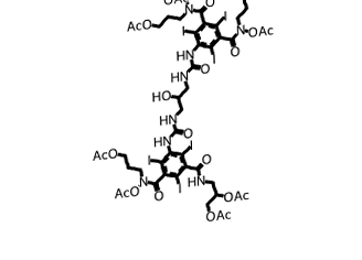 CC(=O)OCCCN(OC(C)=O)C(=O)c1c(I)c(NC(=O)NCC(O)CNC(=O)Nc2c(I)c(C(=O)N(CCCOC(C)=O)OC(C)=O)c(I)c(C(=O)N(CCCOC(C)=O)OC(C)=O)c2I)c(I)c(C(=O)NCC(COC(C)=O)OC(C)=O)c1I